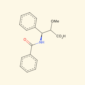 COC(C(=O)O)[C@@H](NC(=O)c1ccccc1)c1ccccc1